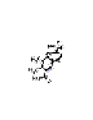 CCC(C)c1nc(C(F)(F)F)ccc1/C=C/C(=O)O